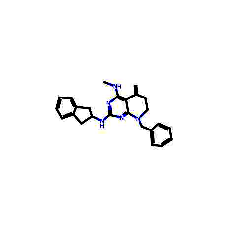 C=C1CCN(Cc2ccccc2)c2nc(NC3Cc4ccccc4C3)nc(NC)c21